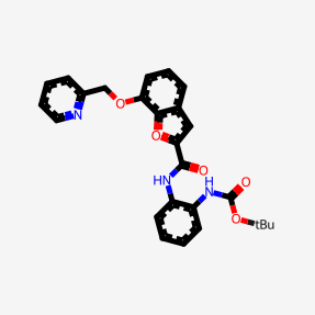 CC(C)(C)OC(=O)Nc1ccccc1NC(=O)c1cc2cccc(OCc3ccccn3)c2o1